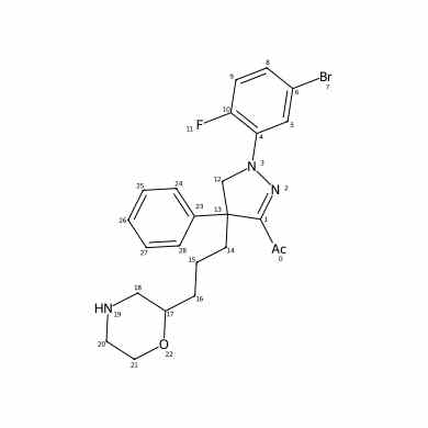 CC(=O)C1=NN(c2cc(Br)ccc2F)CC1(CCCC1CNCCO1)c1ccccc1